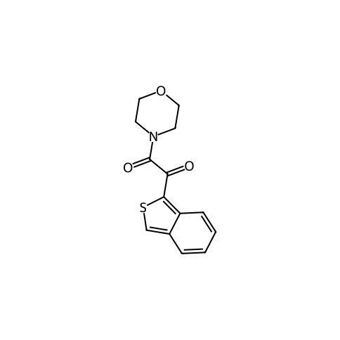 O=C(C(=O)N1CCOCC1)c1scc2ccccc12